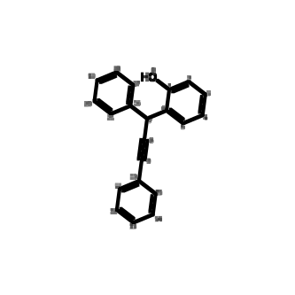 Oc1ccccc1C(C#Cc1ccccc1)c1ccccc1